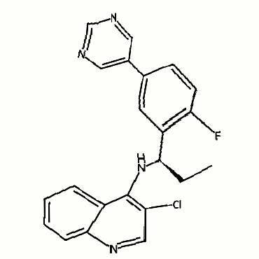 CC[C@@H](Nc1c(Cl)cnc2ccccc12)c1cc(-c2cncnc2)ccc1F